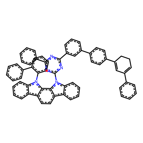 C1=C(c2ccccc2)C=C(c2ccc(-c3cccc(-c4nc(-c5ccccc5)nc(-n5c6ccccc6c6ccc7c8ccccc8n(-c8ccccc8-c8ccccc8)c7c65)n4)c3)cc2)CC1